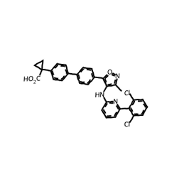 Cc1noc(-c2ccc(-c3ccc(C4(C(=O)O)CC4)cc3)cc2)c1Nc1cccc(-c2c(Cl)cccc2Cl)n1